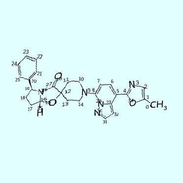 Cc1cnc(-c2ccc(N3CCC4(CC3)O[C@@H]3CC[C@@H](c5ccccc5)N3C4=O)n3nccc23)o1